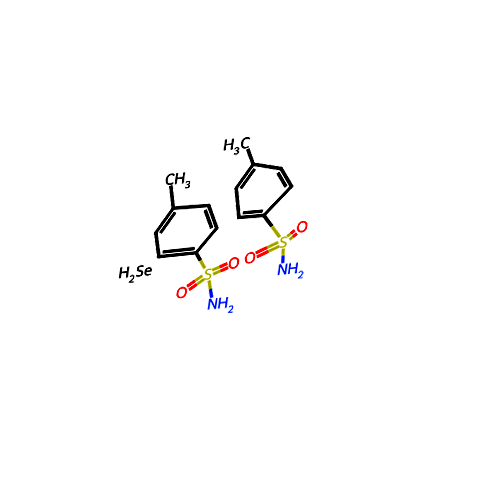 Cc1ccc(S(N)(=O)=O)cc1.Cc1ccc(S(N)(=O)=O)cc1.[SeH2]